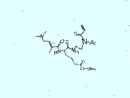 C=CC(=O)N(CCNC(=O)C(CCCC(=O)OC(C)(C)C)NC(=O)/C(C)=C/CN(C)C)C(C)=O